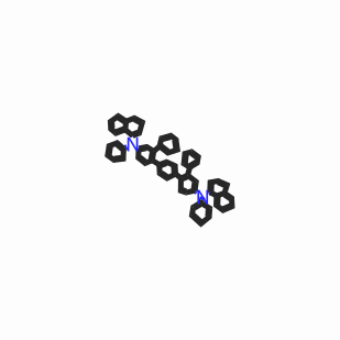 c1ccc(-c2cc(N(c3ccccc3)c3cccc4ccccc34)ccc2-c2ccc(-c3ccc(N(c4ccccc4)c4cccc5ccccc45)cc3-c3ccccc3)cc2)cc1